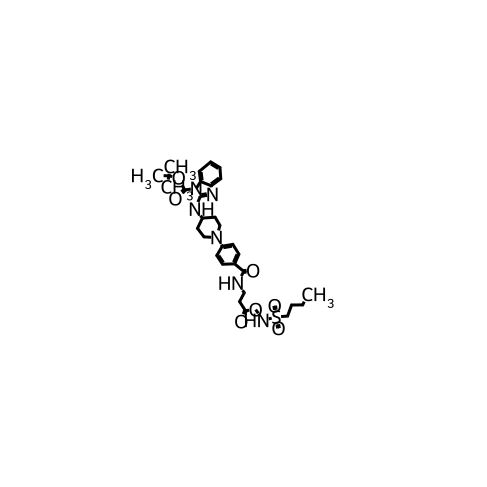 CCCCS(=O)(=O)NOC(=O)CCNC(=O)c1ccc(N2CCC(Nc3nc4ccccc4n3C(=O)OC(C)(C)C)CC2)cc1